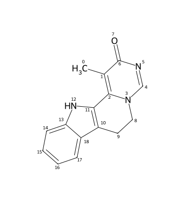 Cc1c2n(cnc1=O)CCc1c-2[nH]c2ccccc12